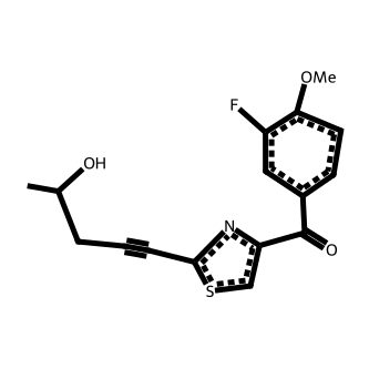 COc1ccc(C(=O)c2csc(C#CCC(C)O)n2)cc1F